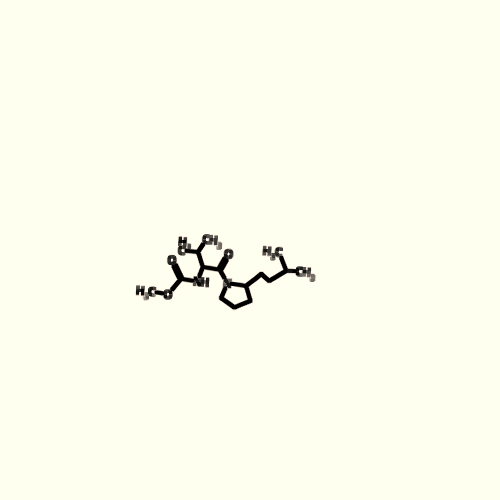 COC(=O)NC(C(=O)N1CCCC1CCC(C)C)C(C)C